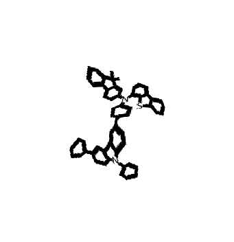 CC1(C)c2ccccc2-c2ccc(N(c3ccc(-c4ccc5c(c4)c4cc(-c6ccccc6)ccc4n5-c4ccccc4)cc3)c3cccc4c3sc3ccccc34)cc21